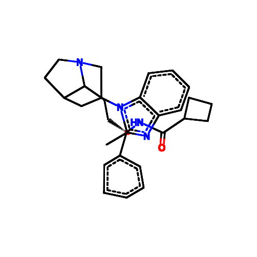 Cc1nc2ccccc2n1C1CC2CCN(C1)C2CC[C@H](NC(=O)C1CCC1)c1ccccc1